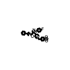 CS(=O)(=O)c1ccc(CN2CCC(c3c(C(=O)N4CC(c5ccccc5)C4)cnn3-c3ccc(F)cc3)CC2)cc1